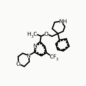 CC(OCC1(c2ccccc2)CCNCC1)c1cc(C(F)(F)F)cc(N2CCOCC2)n1